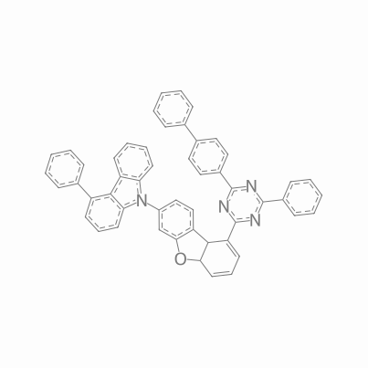 C1=CC2Oc3cc(-n4c5ccccc5c5c(-c6ccccc6)cccc54)ccc3C2C(c2nc(-c3ccccc3)nc(-c3ccc(-c4ccccc4)cc3)n2)=C1